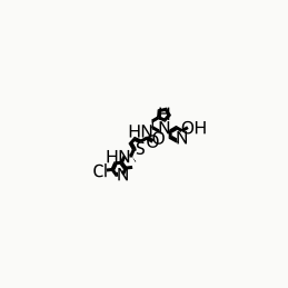 Cc1ncc(Cl)cc1N[C@@H](C)c1ccc(C(=O)N[C@@H](CC2CCCC2)C(=O)Nc2ccnc(O)c2)s1